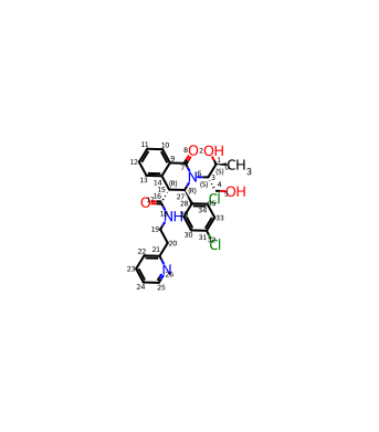 C[C@H](O)[C@H](CO)N1C(=O)c2ccccc2[C@@H](C(=O)NCCc2ccccn2)[C@@H]1c1ccc(Cl)cc1Cl